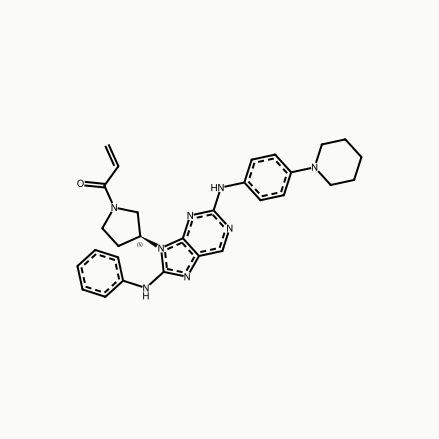 C=CC(=O)N1CC[C@H](n2c(Nc3ccccc3)nc3cnc(Nc4ccc(N5CCCCC5)cc4)nc32)C1